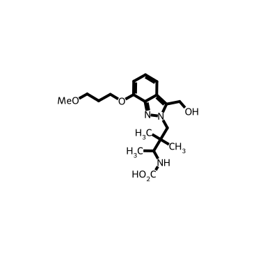 COCCCOc1cccc2c(CO)n(CC(C)(C)C(C)NC(=O)O)nc12